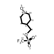 O=S(=O)(OCC1CC[S+]([O-])CC1)C(F)(F)F